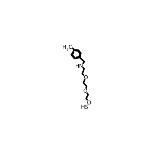 Cc1ccc(CNCCOCCOCCOS)cc1